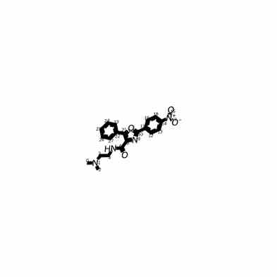 CN(C)CCNC(=O)c1nc(-c2ccc([N+](=O)[O-])cc2)oc1-c1ccccc1